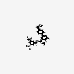 Cc1nc(N[C@H](C)c2cc([N+](=O)[O-])cc(C(F)(F)F)c2)c2cc(C3=CCC(C(=O)O)CC3)cc(C)c2n1